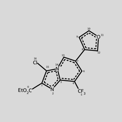 CCOC(=O)c1nc2c(C(F)(F)F)cc(-c3ccoc3)cn2c1Cl